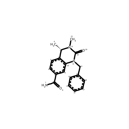 C[C@H]1c2ccc(C(N)=O)cc2N(Cc2ccccc2)C(=O)N1C